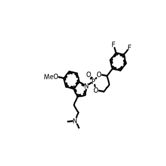 COc1ccc2c(c1)c(CCN(C)C)cn2P1(=O)OCCC(c2ccc(F)c(F)c2)O1